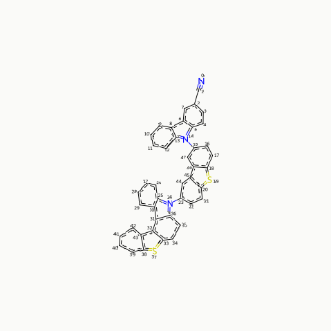 N#Cc1ccc2c(c1)c1ccccc1n2-c1ccc2sc3ccc(-n4c5ccccc5c5c6c(ccc54)sc4ccccc46)cc3c2c1